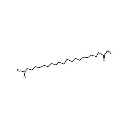 CCN(CC)CCCCCCCCCCCCCCCCCCCC(N)=O